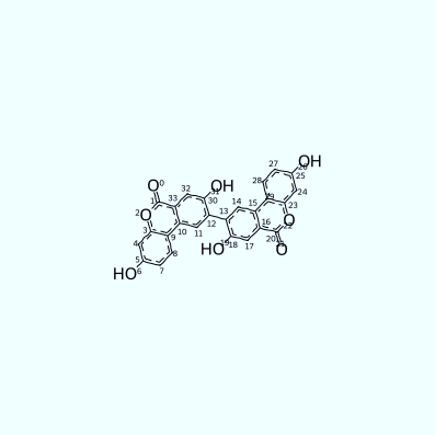 O=c1oc2cc(O)ccc2c2cc(-c3cc4c(cc3O)c(=O)oc3cc(O)ccc34)c(O)cc12